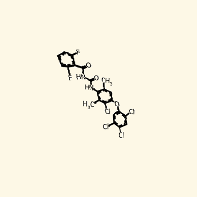 Cc1cc(Oc2cc(Cl)c(Cl)cc2Cl)c(Cl)c(C)c1NC(=O)NC(=O)c1c(F)cccc1F